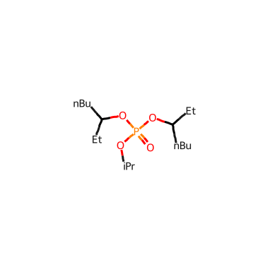 CCCCC(CC)OP(=O)(OC(C)C)OC(CC)CCCC